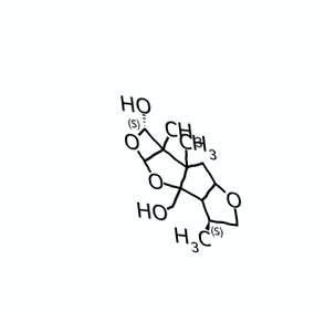 C[C@@H]1COC2CC3(C)C(CO)(OC4O[C@H](O)C43C)C21